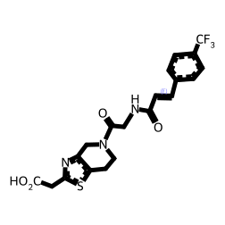 O=C(O)Cc1nc2c(s1)CCN(C(=O)CNC(=O)/C=C/c1ccc(C(F)(F)F)cc1)C2